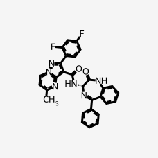 Cc1ccn2nc(-c3ccc(F)cc3F)c(C(=O)N[C@H]3N=C(c4ccccc4)c4ccccc4NC3=O)c2n1